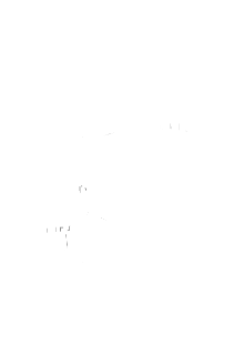 CNC(=O)Nc1ccc(C)c2ccccc12